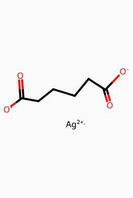 O=C([O-])CCCCC(=O)[O-].[Ag+2]